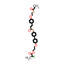 C=CC(=O)SCCOc1ccc(/C=C/C(=O)Sc2ccc(-c3ccc(OCCCOC(=O)C(=C)F)cc3)cc2)cc1